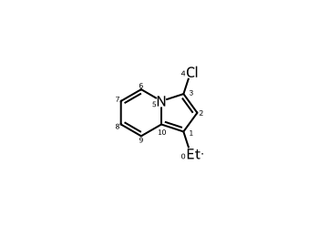 C[CH]c1cc(Cl)n2ccccc12